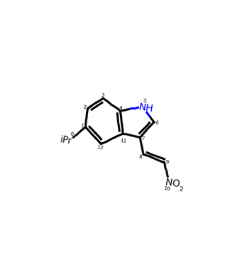 CC(C)c1ccc2[nH]cc(C=C[N+](=O)[O-])c2c1